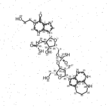 O=c1c2ncn([C@@H]3O[C@H](COP(=O)(S)O[C@H]4[C@H](F)[C@H](n5cc6c7c(ncnc75)NCCC6)O[C@@H]4CO)[C@@H](O)[C@H]3O[PH](=O)S)c2ncn1CCO